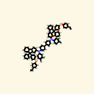 C=Cc1ccc(Oc2ccc(C3(c4c(F)cccc4F)c4ccccc4-c4ccc(N(c5ccc(C6C=CC(N(C7=CC8C(C=C7)c7ccccc7C8(c7ccc(Oc8ccc(C=C)cc8)cc7)c7c(F)cccc7F)c7ccc(C)c(F)c7)=CC6)cc5)c5ccc(C)c(F)c5)cc43)cc2)cc1